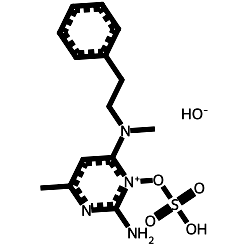 Cc1cc(N(C)CCc2ccccc2)[n+](OS(=O)(=O)O)c(N)n1.[OH-]